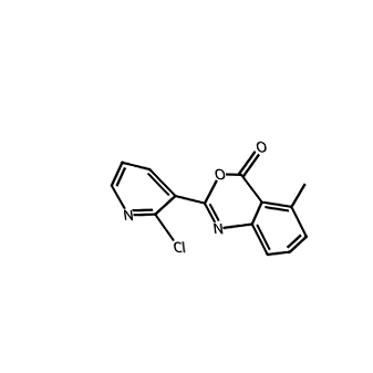 Cc1cccc2nc(-c3cccnc3Cl)oc(=O)c12